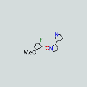 COc1ccc(F)c(CON2C=CC=C(c3cccnc3)C2)c1